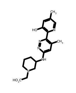 Cc1cnc(-c2nnc(NC3CCCN(CC(=O)O)C3)cc2C)c(O)c1